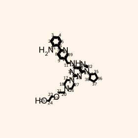 Nc1ccccc1-c1ccc(CNc2nc(N3CCN(CCOCCO)CC3)nc3c2ncn3C2CCCC2)cn1